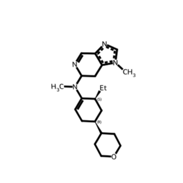 CC[C@H]1C[C@@H](C2CCOCC2)CC=C1N(C)C1Cc2c(ncn2C)C=N1